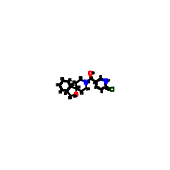 O=C(c1ccc(Cl)nc1)N1CCC2(CC1)OCc1ccccc12